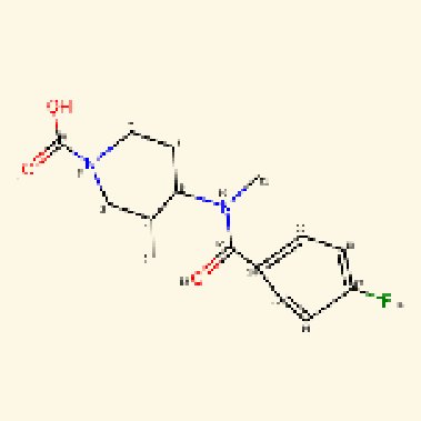 CC1CN(C(=O)O)CCC1N(C)C(=O)c1ccc(F)cc1